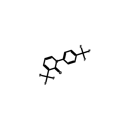 O=c1c(C(F)(F)F)cccn1-c1ccc(C(F)(F)F)cc1